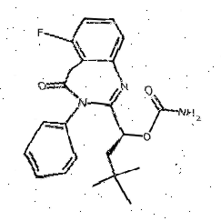 CC(C)(C)C[C@H](OC(N)=O)c1nc2cccc(F)c2c(=O)n1-c1ccccc1